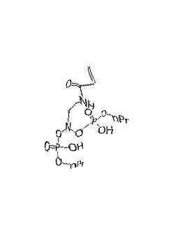 C=CC(=O)NCN(OP(=O)(O)OCCC)OP(=O)(O)OCCC